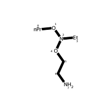 CCCON(CC)OCCN